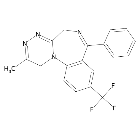 CC1=NN=C2CN=C(c3ccccc3)c3cc(C(F)(F)F)ccc3N2C1